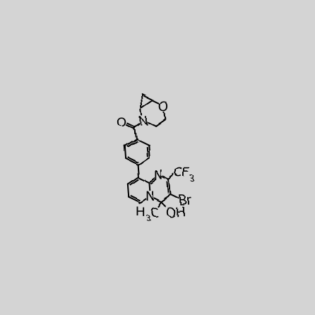 CC1(O)C(Br)=C(C(F)(F)F)N=C2C(c3ccc(C(=O)N4CCOC5CC54)cc3)=CC=CN21